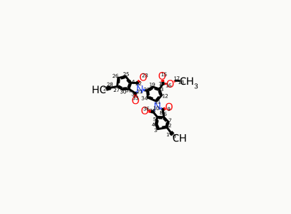 C#Cc1ccc2c(c1)C(=O)N(c1cc(C(=O)OCC)cc(N3C(=O)c4ccc(C#C)cc4C3=O)c1)C2=O